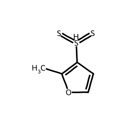 Cc1occc1[SH](=S)=S